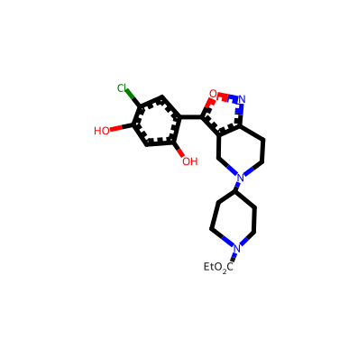 CCOC(=O)N1CCC(N2CCc3noc(-c4cc(Cl)c(O)cc4O)c3C2)CC1